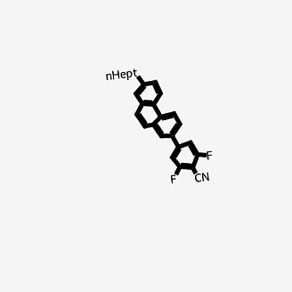 CCCCCCCc1ccc2c(ccc3cc(-c4cc(F)c(C#N)c(F)c4)ccc32)c1